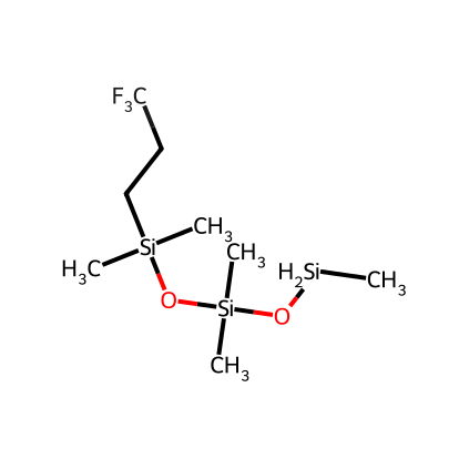 C[SiH2]O[Si](C)(C)O[Si](C)(C)CCC(F)(F)F